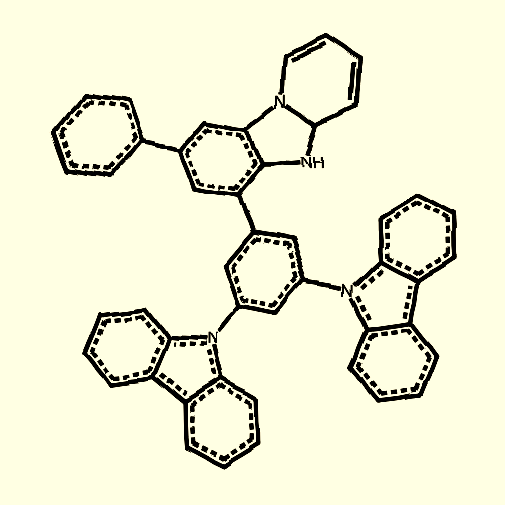 C1=CC2Nc3c(-c4cc(-n5c6ccccc6c6ccccc65)cc(-n5c6ccccc6c6ccccc65)c4)cc(-c4ccccc4)cc3N2C=C1